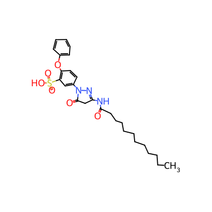 CCCCCCCCCCCC(=O)NC1=NN(c2ccc(Oc3ccccc3)c(S(=O)(=O)O)c2)C(=O)C1